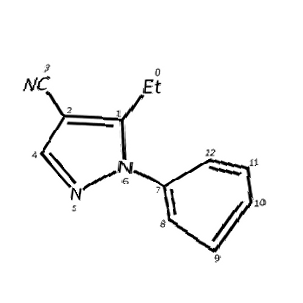 CCc1c(C#N)cnn1-c1ccccc1